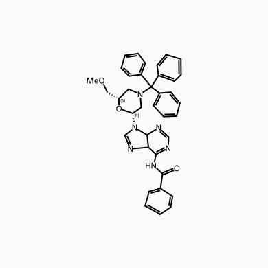 COC[C@@H]1CN(C(c2ccccc2)(c2ccccc2)c2ccccc2)C[C@H](N2C=NC3C(NC(=O)c4ccccc4)=NC=NC32)O1